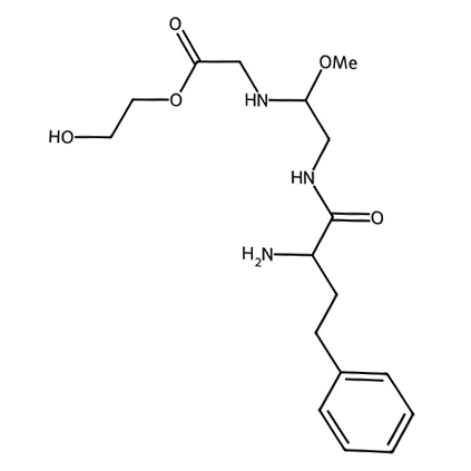 COC(CNC(=O)C(N)CCc1ccccc1)NCC(=O)OCCO